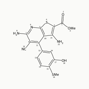 COC(=O)c1sc2nc(N)c(C#N)c(-c3ccc(SC)c(O)c3)c2c1N